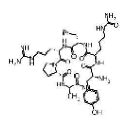 CC(C)C[C@H](NC(=O)[C@@H](CCCNC(N)=O)NC(=O)[C@@H](N)Cc1ccc(O)cc1)C(=O)N[C@@H](CCCNC(=N)N)C(=O)N1CCC[C@H]1C(=O)N[C@H](C)C(N)=O